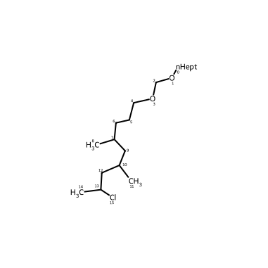 CCCCCCCOCOCCCC(C)CC(C)CC(C)Cl